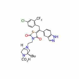 CC(C)(C)[C@]12C[C@@H](CN1C(=O)O)N(CCN1C(=O)SC(=C(Cc3ccc(Cl)cc3C(F)(F)F)c3ccc4[nH]ncc4c3)C1=O)C2